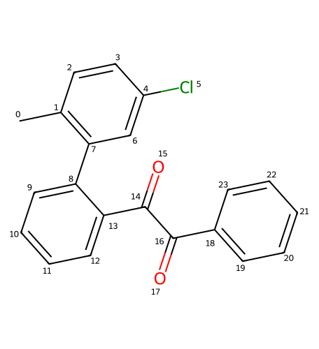 Cc1ccc(Cl)cc1-c1ccccc1C(=O)C(=O)c1ccccc1